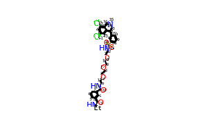 CCNC(=O)c1cccc(C(=O)NCCOCCOCCOCCNS(=O)(=O)c2cccc(C3CN(C)Cc4c(Cl)cc(Cl)cc43)c2)c1